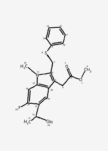 COC(=O)Cc1c(CSc2ccccc2)n(C)c2cc(F)c(C(C)O)cc12